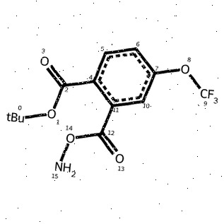 CC(C)(C)OC(=O)c1ccc(OC(F)(F)F)cc1C(=O)ON